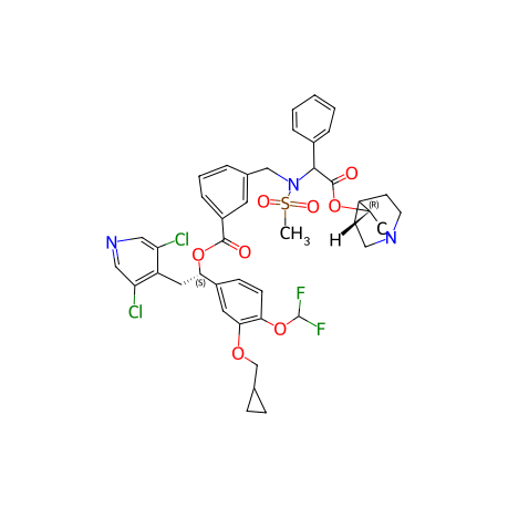 CS(=O)(=O)N(Cc1cccc(C(=O)O[C@@H](Cc2c(Cl)cncc2Cl)c2ccc(OC(F)F)c(OCC3CC3)c2)c1)C(C(=O)O[C@H]1CN2CCC1CC2)c1ccccc1